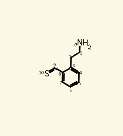 NCCc1ccccc1[C]=S